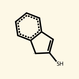 SC1=Cc2ccccc2[CH]1